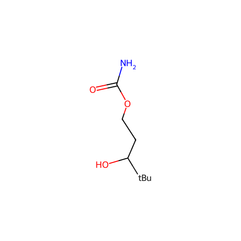 CC(C)(C)C(O)CCOC(N)=O